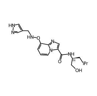 CC(C)C[C@@H](CO)NC(=O)c1cnc2c(ONCc3cn[nH]c3)cccn12